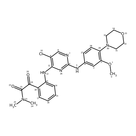 COc1cc(Nc2ncc(Cl)c(Nc3ccccc3C(=O)C(=O)N(C)C)n2)ccc1N1CCOCC1